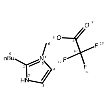 CCCCc1[nH]cc[n+]1C.O=C([O-])C(F)(F)F